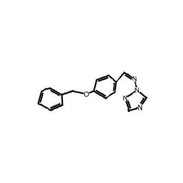 C(=N/n1cncn1)/c1ccc(OCc2ccccc2)cc1